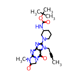 CC#CCn1c(N2CCC[C@@H](NC(=O)OC(C)(C)C)C2)nc2nc3n(c(=O)c21)CC(=O)N3C